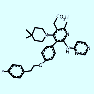 Cc1nc(Nc2ccncn2)c(-c2ccc(OCCc3ccc(F)cc3)cc2)c(N2CCC(C)(C)CC2)c1CC(=O)O